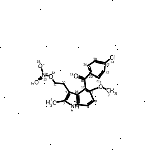 COc1ccc2[nH]c(C)c(CCO[N+](=O)[O-])c2c1C(=O)c1ccc(Cl)cc1